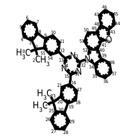 CC1(C)c2ccccc2-c2ccc(-c3nc(-c4ccc5c(c4)C(C)(C)c4ccccc4-5)nc(-n4c5ccccc5c5c6oc7ccccc7c6ccc54)n3)cc21